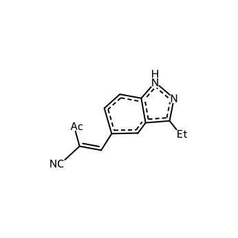 CCc1n[nH]c2ccc(C=C(C#N)C(C)=O)cc12